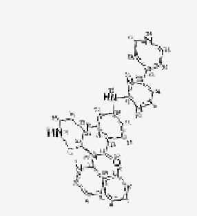 Cc1cccc2ccnc(N(C(=O)c3ccc(Nc4nccc(-c5ccncc5)n4)cc3F)[C@@H]3CCCNC3)c12